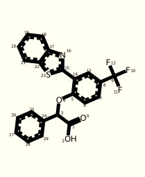 O=C(O)C(Oc1ccc(C(F)(F)F)cc1-c1nc2ccccc2s1)c1ccccc1